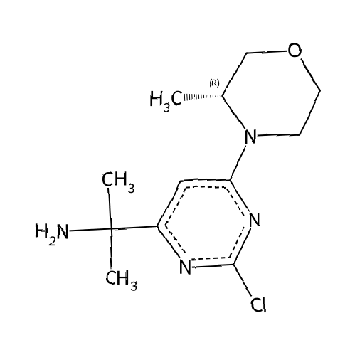 C[C@@H]1COCCN1c1cc(C(C)(C)N)nc(Cl)n1